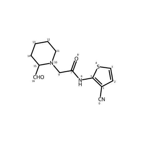 N#Cc1ccsc1NC(=O)CN1CCCCC1C=O